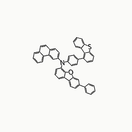 c1ccc(-c2ccc3c(c2)oc2c(N(c4ccc(-c5cccc6sc7ccccc7c56)cc4)c4ccc5ccc6ccccc6c5c4)cccc23)cc1